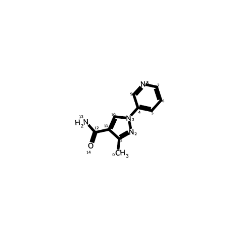 Cc1nn(-c2cccnc2)cc1C(N)=O